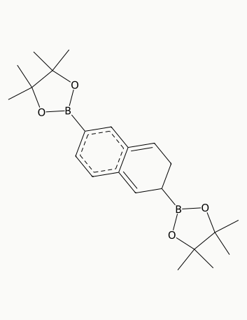 CC1(C)OB(c2ccc3c(c2)=CCC(B2OC(C)(C)C(C)(C)O2)C=3)OC1(C)C